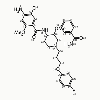 COc1cc(N)c(Cl)cc1C(=O)NC1CCN(CCCOc2ccc(F)cc2)CC1OC.NC(=O)c1ccccc1